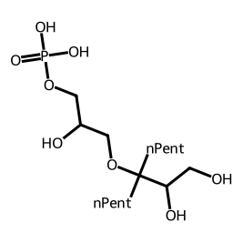 CCCCCC(CCCCC)(OCC(O)COP(=O)(O)O)C(O)CO